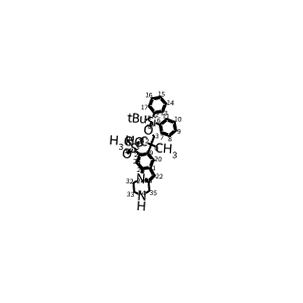 CC(C)(CO[Si](c1ccccc1)(c1ccccc1)C(C)(C)C)c1cc2cc3n(c2cc1S(C)(=O)=O)CCNC3